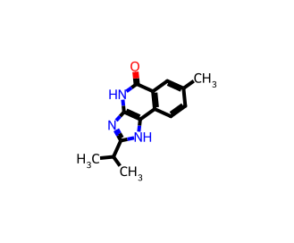 Cc1ccc2c(c1)c(=O)[nH]c1nc(C(C)C)[nH]c12